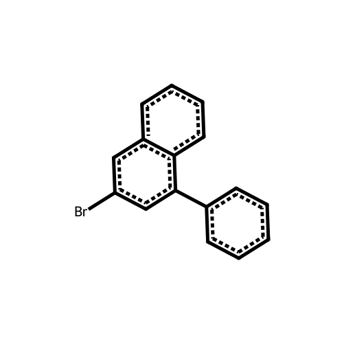 Brc1cc(-c2ccccc2)c2ccccc2c1